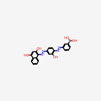 OB(O)c1cccc(/N=N/c2ccc(/N=N/c3c(O)cc(O)c4ccccc34)cc2O)c1